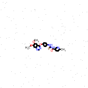 COc1cc2ncnc(Oc3ccc(NC(=S)NC(=O)c4ccc(C)nc4)cc3)c2cc1OC